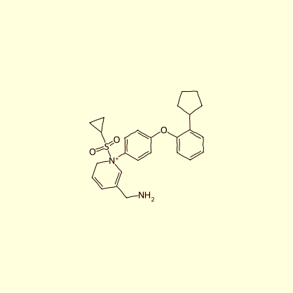 NCC1=C[N+](c2ccc(Oc3ccccc3C3CCCC3)cc2)(S(=O)(=O)C2CC2)CC=C1